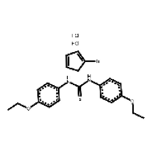 CCOc1ccc(NC(=S)Nc2ccc(OCC)cc2)cc1.Cl.Cl.[Ti][C]1=CC=CC1